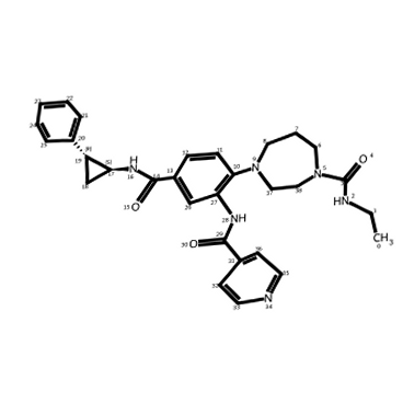 CCNC(=O)N1CCCN(c2ccc(C(=O)N[C@H]3C[C@@H]3c3ccccc3)cc2NC(=O)c2ccncc2)CC1